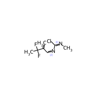 C=C(/C=N\C(Cl)=N/C)C(C)(F)F